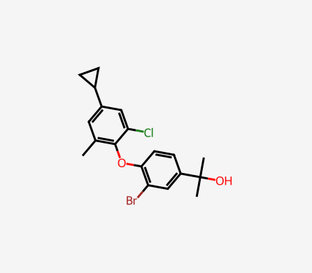 Cc1cc(C2CC2)cc(Cl)c1Oc1ccc(C(C)(C)O)cc1Br